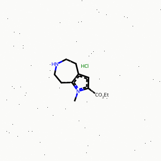 CCOC(=O)c1cc2c(n1C)CCNCC2.Cl